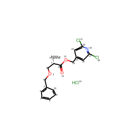 CN[C@@H](COCc1ccccc1)C(=O)OCc1cc(Cl)nc(Cl)c1.Cl